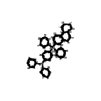 c1ccc(N(c2ccccc2)c2ccc([Si](c3ccccc3)(c3ccccc3)c3ccc4c(ccc5ccccc54)c3)cc2)cc1